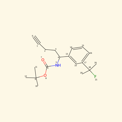 C#CCCC(NC(=O)OC(C)(C)C)c1cccc(C(C)(C)F)c1